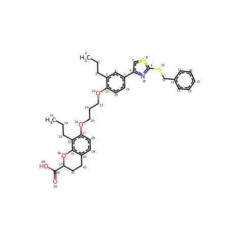 CCCc1cc(-c2csc(SCc3ccccc3)n2)ccc1OCCCOc1ccc2c(c1CCC)OC(C(=O)O)CC2